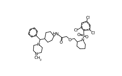 CN1CCN(C(c2ccccc2)C2CCC(NC(=O)COCC3CCCCN3S(=O)(=O)c3c(Cl)cc(Cl)cc3Cl)CC2)CC1